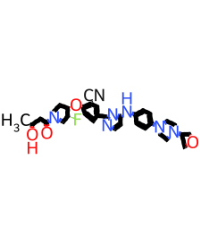 C[C@H](O)CC(=O)N1CC[C@H](Oc2ccc(-c3nccc(Nc4ccc(N5CCN(C6COC6)CC5)cc4)n3)cc2C#N)[C@H](F)C1